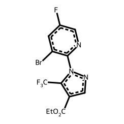 CCOC(=O)c1cnn(-c2ncc(F)cc2Br)c1C(F)(F)F